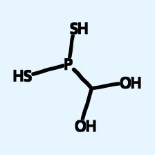 OC(O)P(S)S